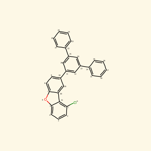 Clc1cccc2oc3ccc(-c4cc(-c5ccccc5)cc(-c5ccccc5)c4)cc3c12